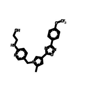 Cc1cc(-c2nc(-c3ccc(OC(F)(F)F)cc3)no2)cn1Cc1ccc(NCCO)nc1